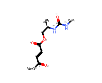 COC(=O)/C=C/C(=O)OC[C@H](NC(=O)NC(C)C)C(C)C